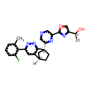 CC[C@H](O)c1coc(-c2cncc([C@]34CC[C@H](C3)c3cc(-c5c(C)cccc5F)nnc34)n2)n1